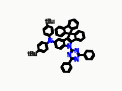 CC(C)(C)c1ccc(N(c2ccc(C(C)(C)C)cc2)c2ccc3c(c2)c2c(n3-c3nc(-c4ccccc4)nc(-c4ccccc4)n3)-c3ccccc3C23c2ccccc2-c2ccccc23)cc1